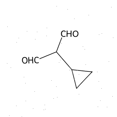 O=CC(C=O)C1CC1